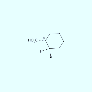 O=C(O)[C@@H]1CCCCC1(F)F